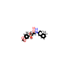 CC[C](Cc1ccccc1)NC[C@@](C)(O)CS(=O)(=O)c1ccc2c(c1)OCO2